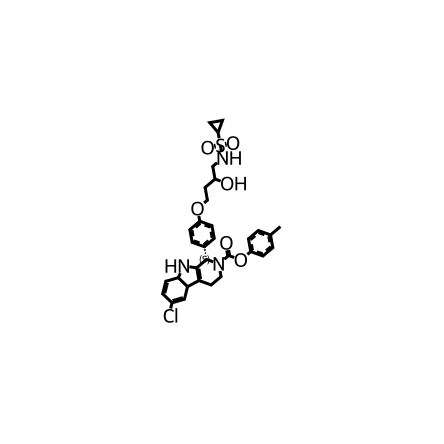 Cc1ccc(OC(=O)N2CCC3=C(NC4C=CC(Cl)=CC34)[C@@H]2c2ccc(OCCC(O)CNS(=O)(=O)C3CC3)cc2)cc1